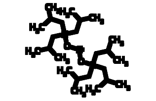 CC(C)C[Si](CC(C)C)(CC(C)C)O[Si]O[Si](CC(C)C)(CC(C)C)CC(C)C